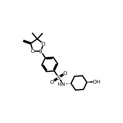 C=C1OB(c2ccc(S(=O)(=O)N[C@H]3CC[C@H](O)CC3)cc2)OC1(C)C